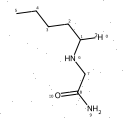 [2H]C(CCCC)NCC(N)=O